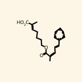 CC(=CCCCCOC(=O)C(C)=CC=Cc1ccccc1)C(=O)O